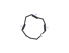 [CH]1/C=C/C/C=C/C/C=C\CCC1